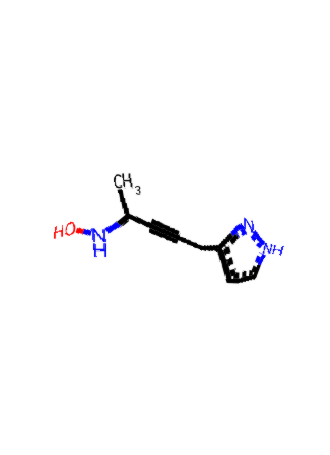 CC(C#Cc1cc[nH]n1)NO